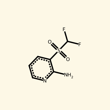 Nc1ncccc1S(=O)(=O)C(F)F